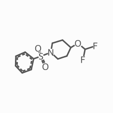 O=S(=O)(c1ccccc1)N1CCC(OC(F)F)CC1